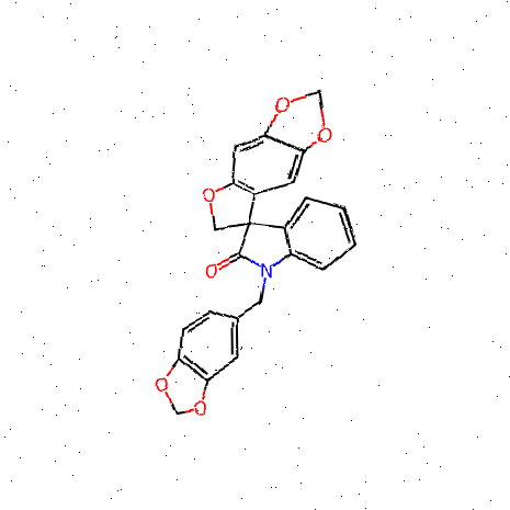 O=C1N(Cc2ccc3c(c2)OCO3)c2ccccc2C12COc1cc3c(cc12)OCO3